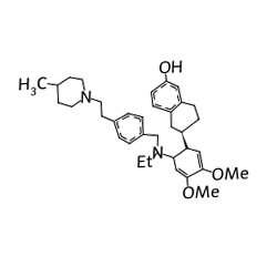 CCN(Cc1ccc(CCN2CCC(C)CC2)cc1)C1C=C(OC)C(OC)=CC1[C@@H]1CCc2cc(O)ccc2C1